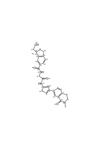 CN1CCc2ccc(-c3csc(NC(=O)CNC(=O)c4ccc5c(c4)[C@@](C)(CO)CC5)n3)cc2C1=O